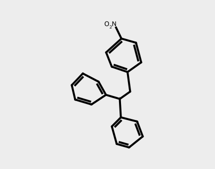 O=[N+]([O-])c1ccc(C[C](c2ccccc2)c2ccccc2)cc1